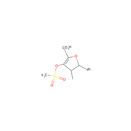 CC(C)C1OC(C(=O)O)=C(OS(=O)(=O)C(F)(F)F)C1C